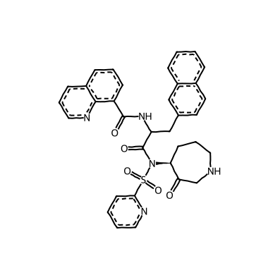 O=C(NC(Cc1ccc2ccccc2c1)C(=O)N([C@H]1CCCNCC1=O)S(=O)(=O)c1ccccn1)c1cccc2cccnc12